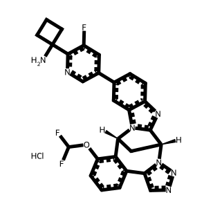 Cl.NC1(c2ncc(-c3ccc4nc5n(c4c3)[C@@H]3C[C@H]5n4nncc4-c4cccc(OC(F)F)c43)cc2F)CCC1